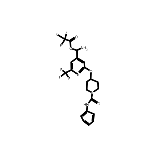 NC(OC(=O)C(F)(F)F)c1cc(OC2CCN(C(=O)Nc3ccccc3)CC2)nc(C(F)(F)F)c1